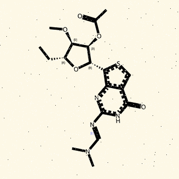 CC[C@H]1O[C@@H](c2scc3c(=O)[nH]c(/N=C/N(C)C)nc23)[C@H](OC(C)=O)[C@@H]1OC